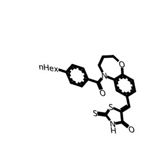 CCCCCCc1ccc(C(=O)N2CCCOc3ccc(C=C4SC(=S)NC4=O)cc32)cc1